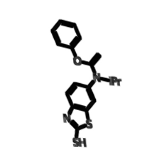 C=C(Oc1ccccc1)N(c1ccc2nc(S)sc2c1)C(C)C